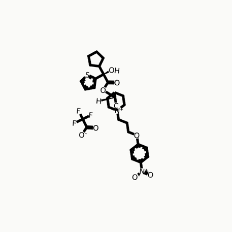 O=C(O[C@H]1C[N+]2(CCCOc3ccc([N+](=O)[O-])cc3)CCC1CC2)[C@](O)(c1cccs1)C1CCCC1.O=C([O-])C(F)(F)F